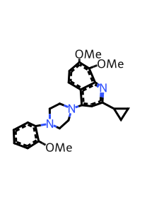 COc1ccccc1N1CCN(c2cc(C3CC3)nc3c(OC)c(OC)ccc23)CC1